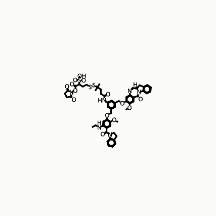 CCNc1cc(OCc2cc(COc3cc4c(cc3OC)C(=O)N3c5ccccc5C[C@H]3C=N4)cc(NC(=O)CCC(C)(C)SSCCC(C(=O)ON3C(=O)CCC3=O)S(=O)(=O)O)c2)c(OC)cc1C(=O)N1CCc2ccccc21